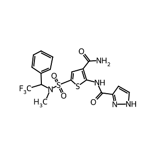 CN(C(c1ccccc1)C(F)(F)F)S(=O)(=O)c1cc(C(N)=O)c(NC(=O)c2cc[nH]n2)s1